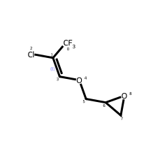 FC(F)(F)/C(Cl)=C\OCC1CO1